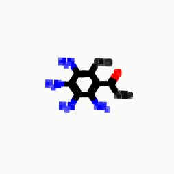 CNC(=O)c1c(N)c(N)c(N)c(N)c1C=O